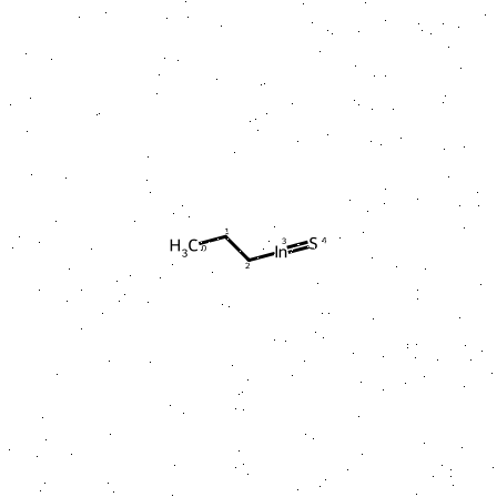 CC[CH2][In]=[S]